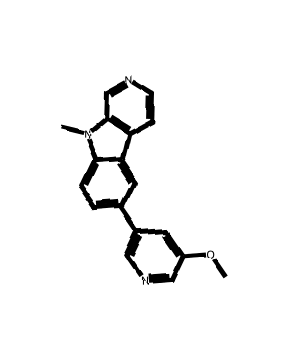 COc1cncc(-c2ccc3c(c2)c2ccncc2n3C)c1